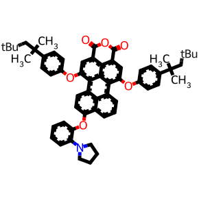 CC(C)(C)CC(C)(C)c1ccc(Oc2cc3c4c(cc(Oc5ccc(C(C)(C)CC(C)(C)C)cc5)c5c6ccc(Oc7ccccc7N7CCCC7)c7cccc(c2c45)c76)C(=O)OC3=O)cc1